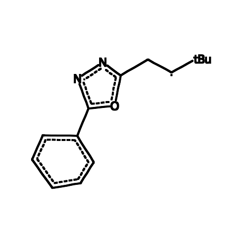 CC(C)(C)[CH]Cc1nnc(-c2ccccc2)o1